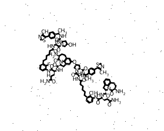 Cc1ncsc1-c1ccc([C@H](C)NC(=O)[C@@H]2C[C@@H](O)CN2C(=O)[C@@H](NC(=O)CCCCCc2cccc(NC(=O)[C@H](CCC(N)=O)NC(=O)[C@@H]3Cc4cc(O[C@@H]5C[C@@H](C(=O)N[C@@H](C)c6ccc(-c7scnc7C)cc6)N(C(=O)[C@@H](NC(=O)CCCCCc6cccc(NC(=O)[C@H](CCC(N)=O)NC(=O)[C@@H]7Cc8cccc9c8N7C(=O)[C@@H](N)CC9)c6Cl)C(C)(C)C)C5)cc5c4N3C(=O)[C@@H](N)CC5)c2F)C(C)(C)C)cc1